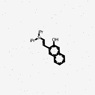 CC(C)[Si](C=Cc1cc2ccccc2cc1O)C(C)C